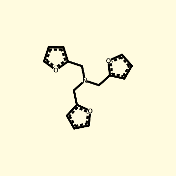 c1coc(CN(Cc2ccco2)Cc2ccco2)c1